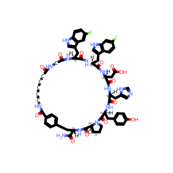 C[C@@]12CCCN1C(=O)[C@H](Cc1ccc(O)cc1)NC(=O)[C@H](Cc1cnc[nH]1)NC(=O)[C@H](CC(=O)O)NC(=O)[C@H](Cc1c[nH]c3cc(F)ccc13)NC(=O)[C@H](Cc1c[nH]c3ccc(F)cc13)NC(=O)CNC(=O)CCCCCNC(=O)c1ccc(cc1)C[C@@H](C(N)=O)NC2=O